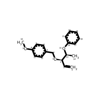 C=C[C@@H](OCc1ccc(OC)cc1)[C@H](C)Oc1ccccc1